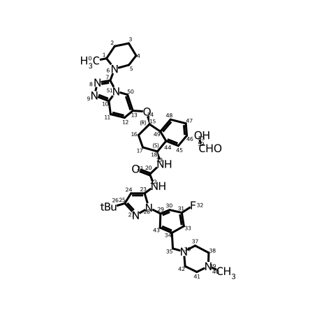 CC1CCCCN1c1nnc2ccc(O[C@@H]3CC[C@H](NC(=O)Nc4cc(C(C)(C)C)nn4-c4cc(F)cc(CN5CCN(C)CC5)c4)c4ccccc43)cn12.O=CO